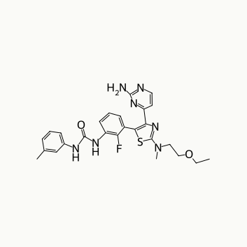 CCOCCN(C)c1nc(-c2ccnc(N)n2)c(-c2cccc(NC(=O)Nc3cccc(C)c3)c2F)s1